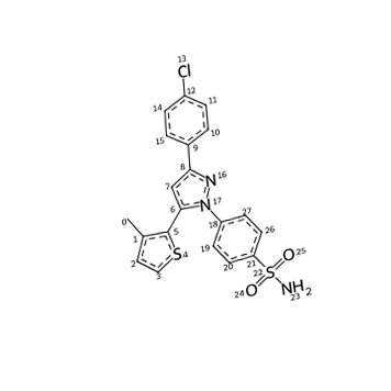 Cc1ccsc1-c1cc(-c2ccc(Cl)cc2)nn1-c1ccc(S(N)(=O)=O)cc1